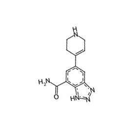 NC(=O)c1cc(C2=CCNCC2)cc2nn[nH]c12